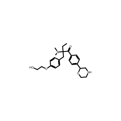 CCC(Cc1ccc(OCCO)cc1)(C(=O)c1ccc(C2CNCCO2)cc1)N(C)C